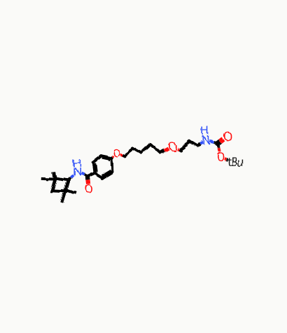 CC(C)(C)OC(=O)NCCCOCCCCCOc1ccc(C(=O)NC2C(C)(C)CC2(C)C)cc1